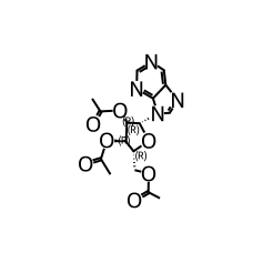 CC(=O)OC[C@H]1O[C@@H](n2cnc3cncnc32)[C@H](OC(C)=O)[C@@H]1OC(C)=O